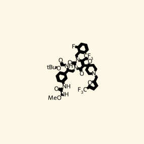 CONC(=O)Nc1cccc(C(Cn2c(=O)c3c(n(Cc4c(F)cccc4C(F)(F)F)c2=O)COC32CCN(Cc3ccc(C(F)(F)F)o3)CC2)NC(=O)OC(C)(C)C)c1